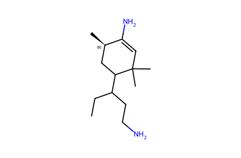 CCC(CCN)C1C[C@@H](C)C(N)=CC1(C)C